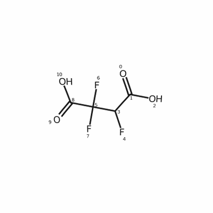 O=C(O)C(F)C(F)(F)C(=O)O